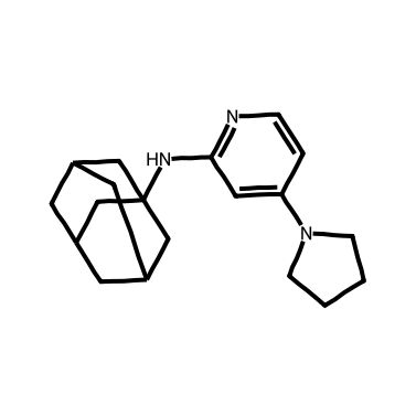 c1cc(N2CCCC2)cc(NC23CC4CC(CC(C4)C2)C3)n1